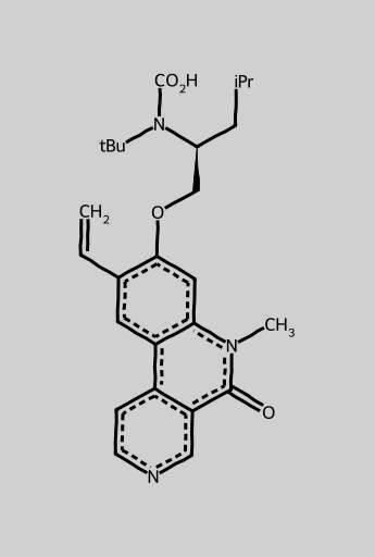 C=Cc1cc2c3ccncc3c(=O)n(C)c2cc1OC[C@H](CC(C)C)N(C(=O)O)C(C)(C)C